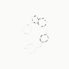 CN1CCN(Cc2ccc(Nc3ncc4cnn(C5CCOCC5)c4n3)cc2)CC1